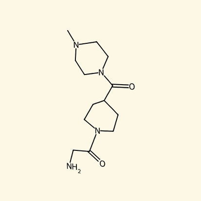 CN1CCN(C(=O)C2CCN(C(=O)CN)CC2)CC1